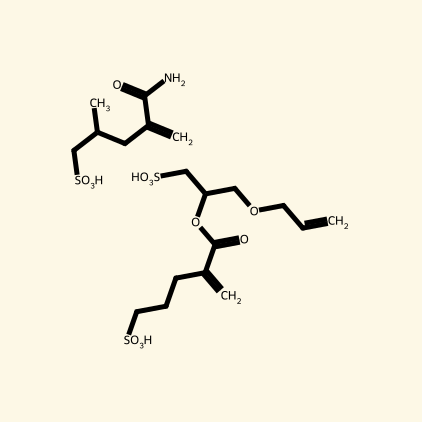 C=C(CC(C)CS(=O)(=O)O)C(N)=O.C=CCOCC(CS(=O)(=O)O)OC(=O)C(=C)CCCS(=O)(=O)O